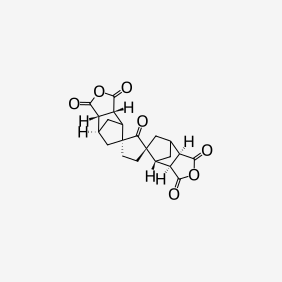 O=C1OC(=O)[C@@H]2C3C[C@H]([C@H]12)[C@@]1(CC[C@@]2(C[C@@H]4CC2[C@H]2C(=O)OC(=O)[C@@H]42)C1=O)C3